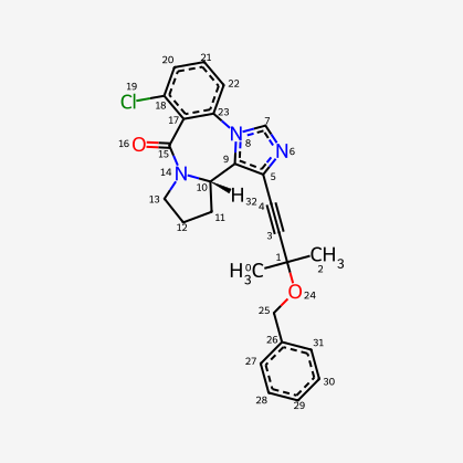 CC(C)(C#Cc1ncn2c1[C@@H]1CCCN1C(=O)c1c(Cl)cccc1-2)OCc1ccccc1